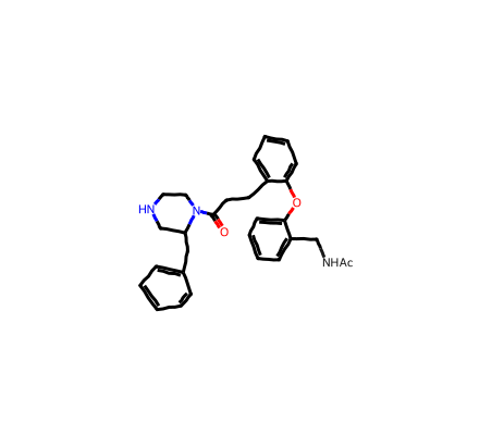 CC(=O)NCc1ccccc1Oc1ccccc1CCC(=O)N1CCNCC1Cc1ccccc1